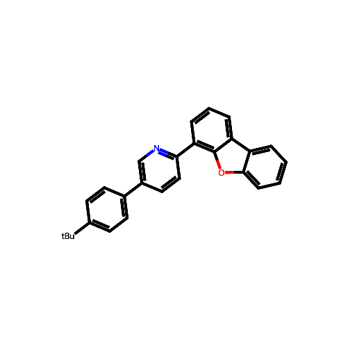 CC(C)(C)c1ccc(-c2ccc(-c3cccc4c3oc3ccccc34)nc2)cc1